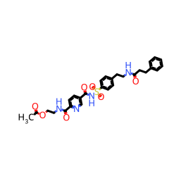 CC(=O)OCCNC(=O)c1ccc(C(=O)NS(=O)(=O)c2ccc(CCNC(=O)CCc3ccccc3)cc2)cn1